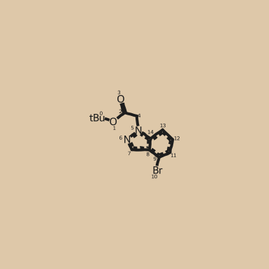 CC(C)(C)OC(=O)Cn1ncc2c(Br)cccc21